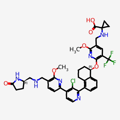 COc1nc(-c2ccnc(-c3cccc4c3CCC[C@H]4Oc3nc(OC)c(CNC4(C(=O)O)CC4)cc3C(F)(F)F)c2Cl)ccc1CNC[C@H]1CCC(=O)N1